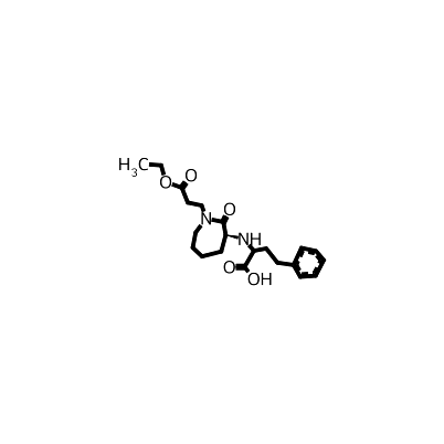 CCOC(=O)CCN1CCCC[C@H](NC(CCc2ccccc2)C(=O)O)C1=O